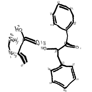 C=CC(=O)O.N[SiH3].O=C(c1ccccc1)C(O)c1ccccc1